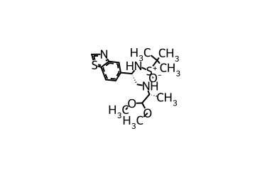 COC(OC)[C@@H](C)NC[C@@H](N[S@@+]([O-])C(C)(C)C)c1ccc2scnc2c1